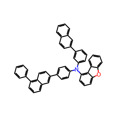 c1ccc(-c2cccc3cc(-c4ccc(N(c5cccc(-c6ccc7ccccc7c6)c5)c5cccc6oc7ccccc7c56)cc4)ccc23)cc1